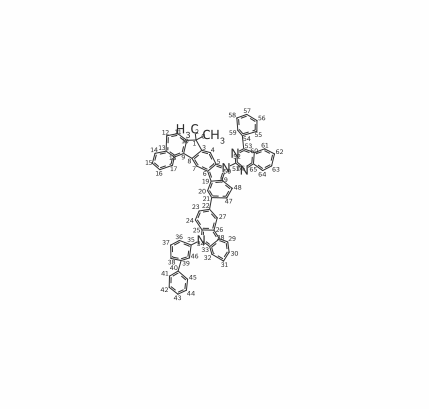 CC1(C)c2cc3c(cc2-c2c1ccc1ccccc21)c1cc(-c2ccc4c(c2)c2ccccc2n4-c2cccc(-c4ccccc4)c2)ccc1n3-c1nc(-c2ccccc2)c2ccccc2n1